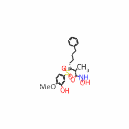 COc1ccc(S(=O)(=O)[C@H](CCCCc2ccccc2)C(C)C(=O)NO)cc1O